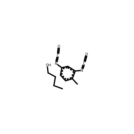 CCCCO.Cc1ccc(N=C=O)cc1N=C=O